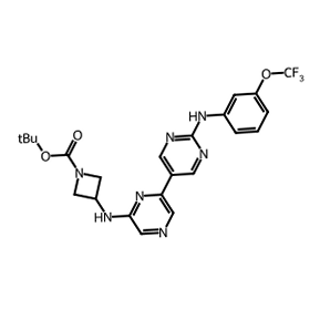 CC(C)(C)OC(=O)N1CC(Nc2cncc(-c3cnc(Nc4cccc(OC(F)(F)F)c4)nc3)n2)C1